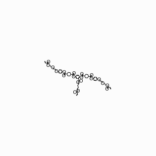 C=CC(=O)OCCCCOC(=O)c1cc(OC(=O)C2CCC(C(=O)Oc3ccc(OCCOCCOC(=O)C=C)cc3)CC2)ccc1OC(=O)C1CCC(C(=O)Oc2ccc(OCCOCCOC(=O)C=C)cc2)CC1